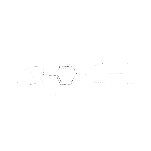 CN(C)C(=O)c1ccc(-c2ccc(N3CC4CCC(C3)N4S(=O)(=O)c3c(Cl)cccc3Cl)cc2)cc1Cl